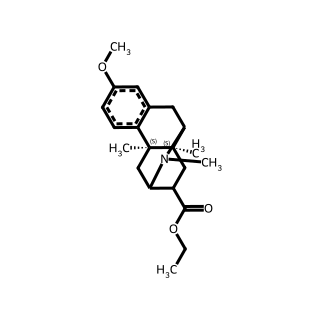 CCOC(=O)C1C[C@]2(C)C3Cc4cc(OC)ccc4[C@]2(C)CC1N3C